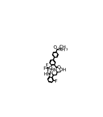 CNC(=O)c1ccc(-c2ccc(OC(F)(F)F)c(C(=O)N[C@@H](CO)Cc3n[nH]c4cccc(F)c34)c2)cc1